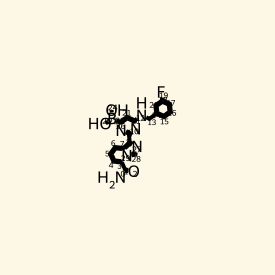 NC(=O)c1cccc2c(-c3nc(NCc4cccc(F)c4)cc(B(O)O)n3)ncn12